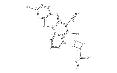 C=CC(=O)N1CC(Nc2c(C#N)c(=O)n(Cc3cccc(F)c3)c3ccccc23)C1